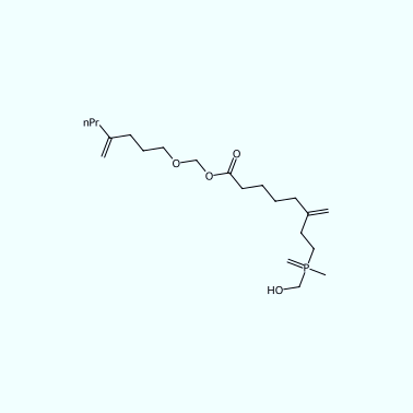 C=C(CCC)CCCOCOC(=O)CCCCC(=C)CCP(=C)(C)CO